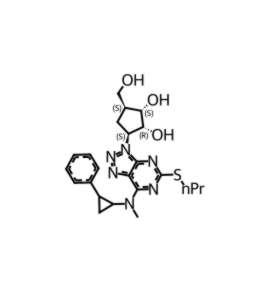 CCCSc1nc(N(C)C2CC2c2ccccc2)c2nnn([C@H]3C[C@@H](CO)[C@H](O)[C@@H]3O)c2n1